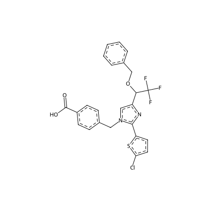 O=C(O)c1ccc(Cn2cc(C(OCc3ccccc3)C(F)(F)F)nc2-c2ccc(Cl)s2)cc1